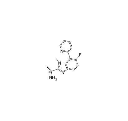 C[C@H](N)c1nc2ccc(F)c(-c3ccccn3)c2n1C